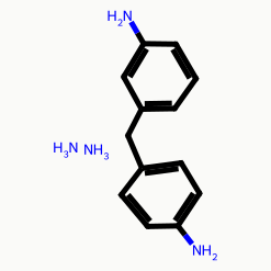 N.N.Nc1ccc(Cc2cccc(N)c2)cc1